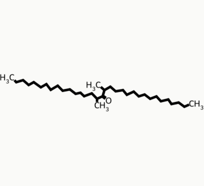 CCCCCCCCCCCCCCCC(C)C(=O)C(C)CCCCCCCCCCCCCCC